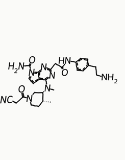 C[C@@H]1CCN(C(=O)CC#N)C[C@@H]1N(C)c1nc(CC(=O)Nc2ccc(CCN)cc2)nc2c1ccn2C(N)=O